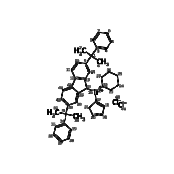 CC(C)(c1ccccc1)c1ccc2c(c1)[CH]([Ti+2]([C]1=CC=CC1)=[C]1CCCCC1)c1cc(C(C)(C)c3ccccc3)ccc1-2.[Cl-].[Cl-]